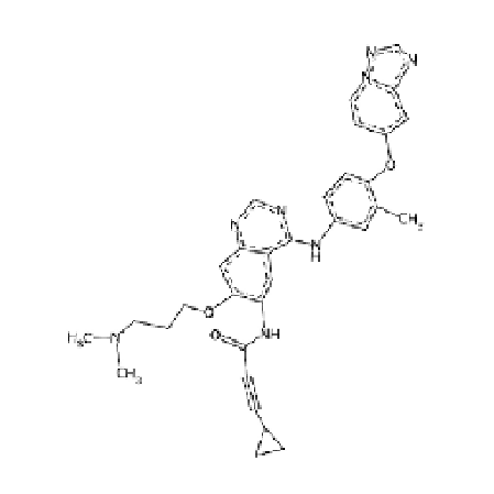 Cc1cc(Nc2ncnc3cc(OCCCN(C)C)c(NC(=O)C#CC4CC4)cc23)ccc1Oc1ccn2ncnc2c1